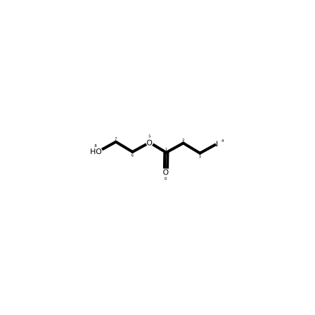 O=C(CCI)OCCO